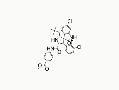 COC(=O)c1ccc(NC(=O)[C@@H]2N[C@@H](CC(C)(C)C)C3(C(=O)Nc4cc(Cl)ccc43)[C@H]2c2cccc(Cl)c2F)cc1